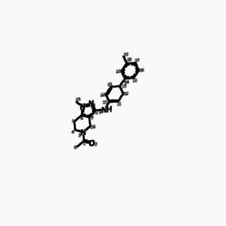 CC(=O)N1CCc2c(c(NC3=CCC(c4cccc(C)c4)C=C3)nn2C)C1